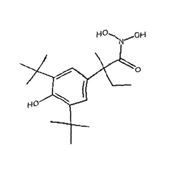 CCC(C)(C(=O)N(O)O)c1cc(C(C)(C)C)c(O)c(C(C)(C)C)c1